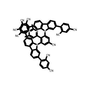 Cc1cc(-c2c(-n3c4cc(-c5ccc(C#N)cc5C#N)ccc4c4ccc(-c5ccc(C#N)cc5C#N)cc43)cc(C#N)cc2-n2c3cc(-c4ccc(C#N)cc4C#N)ccc3c3ccc(-c4ccc(C#N)cc4C#N)cc32)nc(C)n1